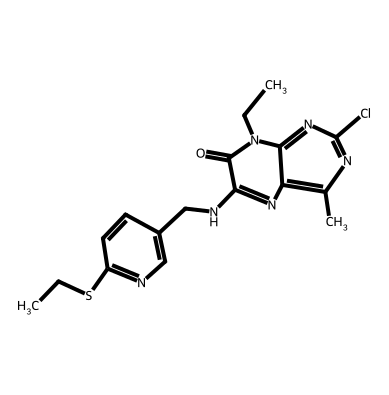 CCSc1ccc(CNc2nc3c(C)nc(Cl)nc3n(CC)c2=O)cn1